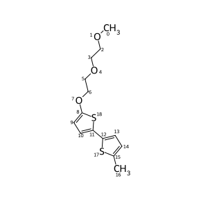 COCCOCCOc1ccc(-c2ccc(C)s2)s1